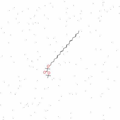 CCC=CCC=CCC=CCC=CCC=CCCCCOC(C)(C)C(=O)OC(C)(C)C